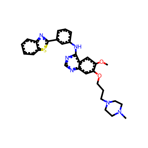 COc1cc2c(Nc3cccc(-c4nc5ccccc5s4)c3)ncnc2cc1OCCCN1CCN(C)CC1